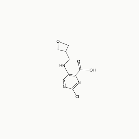 O=C(O)c1nc(Cl)ncc1NCC1COC1